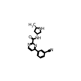 C[C@@H]1C[C@@H](NC(=O)c2nccc(-c3cccc(C#N)c3)n2)CN1